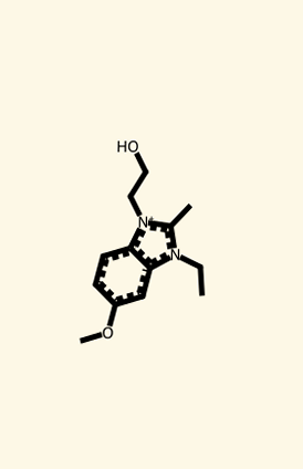 CCn1c(C)[n+](CCO)c2ccc(OC)cc21